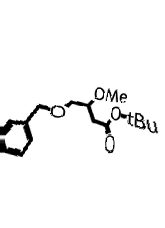 COC(COCc1ccccc1)CC(=O)OC(C)(C)C